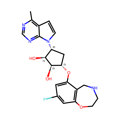 Cc1ncnc2c1ccn2[C@@H]1C[C@H](Oc2cc(F)cc3c2CNCCO3)[C@@H](O)[C@H]1O